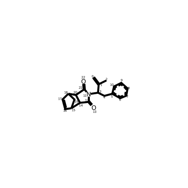 C=C(C)C(Cc1ccccc1)N1C(=O)C2C3C=CC(C3)C2C1=O